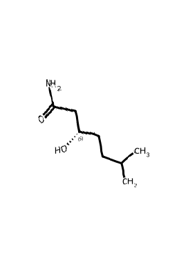 CC(C)CC[C@H](O)CC(N)=O